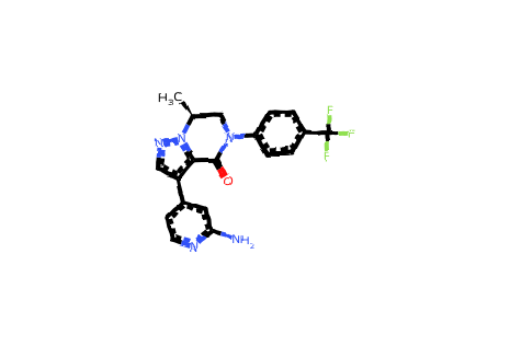 C[C@H]1CN(c2ccc(C(F)(F)F)cc2)C(=O)c2c(-c3ccnc(N)c3)cnn21